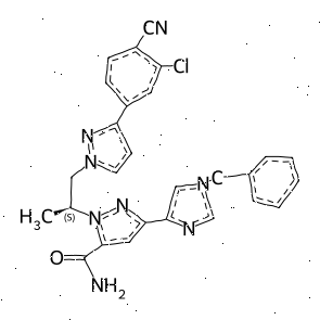 C[C@@H](Cn1ccc(-c2ccc(C#N)c(Cl)c2)n1)n1nc(-c2cn(Cc3ccccc3)cn2)cc1C(N)=O